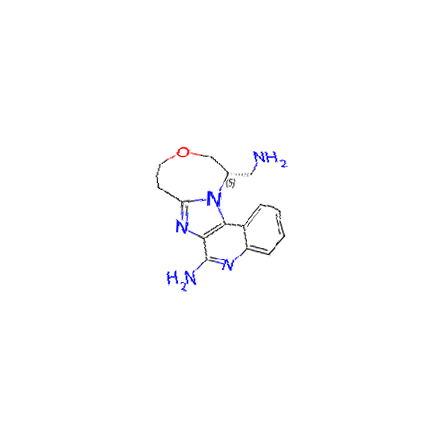 NC[C@H]1COCCc2nc3c(N)nc4ccccc4c3n21